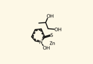 CC(O)CO.On1ccccc1=S.[Zn]